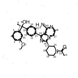 COc1cccc([C@](C)(O)c2ccc(-c3nc([C@@H]4CCCN(C(C)=O)C4)n4ccnc(N)c34)cc2)c1